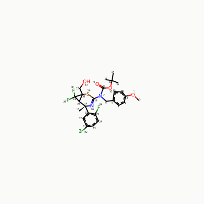 COc1ccc(CN(C(=O)OC(C)(C)C)C2=N[C@](C)(c3cc(Br)ccc3F)C3C(F)(F)C3(CO)S2)cc1